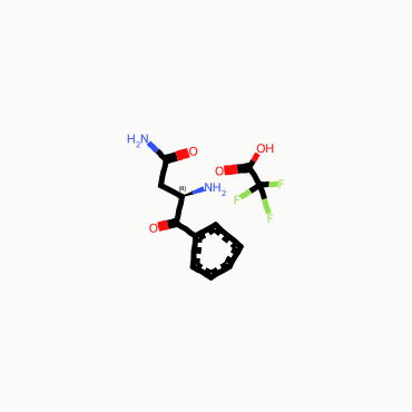 NC(=O)C[C@@H](N)C(=O)c1ccccc1.O=C(O)C(F)(F)F